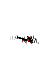 CCCCCC=CCC=CCCCCCCCC(CC(=O)OC)O[Si](C)(C)C(C)(C)C